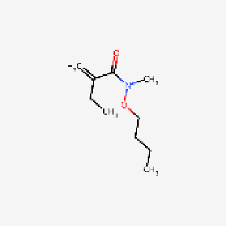 C=C(CC)C(=O)N(C)OCCCC